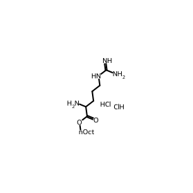 CCCCCCCCOC(=O)C(N)CCCNC(=N)N.Cl.Cl